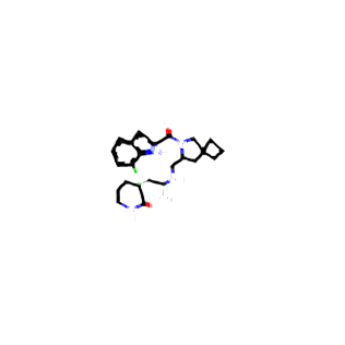 N#C[C@H](C[C@@H]1CCCNC1=O)NCC1CC2(CCC2)CN1C(=O)c1cc2cccc(Cl)c2[nH]1